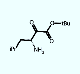 CC(C)C[C@@H](N)C(=O)C(=O)OC(C)(C)C